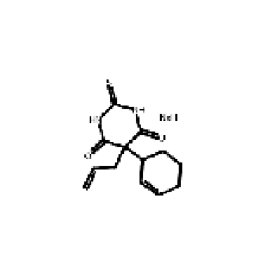 C=CCC1(C2C=CCCC2)C(=O)NC(=S)NC1=O.[NaH]